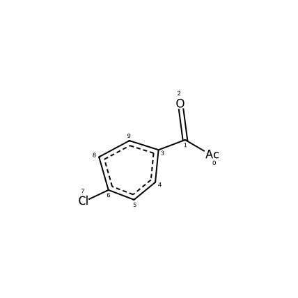 CC(=O)C(=O)c1ccc(Cl)cc1